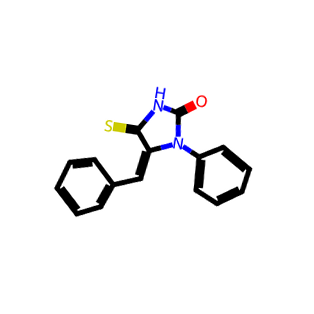 O=C1NC(=S)C(=Cc2ccccc2)N1c1ccccc1